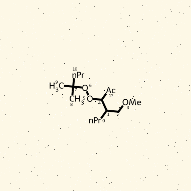 CCCC(COC)C(OOC(C)(C)CCC)C(C)=O